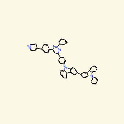 c1ccc(-c2nc(-c3ccc(-c4ccncc4)cc3)cc(-c3ccc(-n4c5ccccc5c5cc(-c6ccc7c(c6)c6ccccc6n7-c6ccccc6)ccc54)cc3)n2)cc1